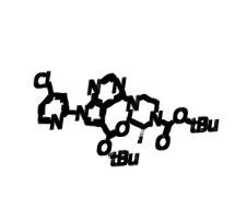 C[C@@H]1CN(c2ncnc3c2c(C(=O)OC(C)(C)C)cn3-c2cc(Cl)ccn2)CCN1C(=O)OC(C)(C)C